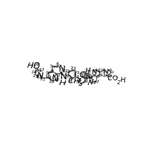 Cc1c(Nc2nccc3cc(CN4CC[C@@H](O)C4)cnc23)cccc1-c1cccc(Nc2nccc3cc(CN4CC[C@H](C(=O)O)C4)cnc23)c1C